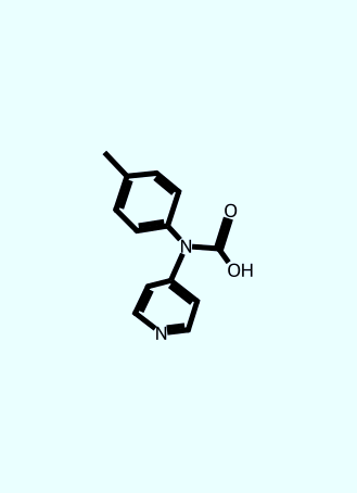 Cc1ccc(N(C(=O)O)c2ccncc2)cc1